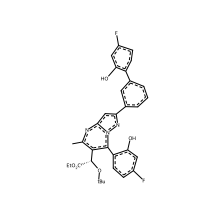 CCOC(=O)[C@@H](OC(C)(C)C)c1c(C)nc2cc(-c3cccc(-c4ccc(F)cc4O)c3)nn2c1-c1ccc(F)cc1O